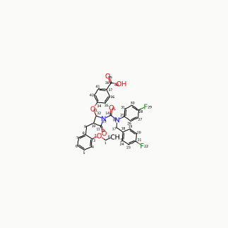 CCOc1ccccc1CC1C(=O)N(C(=O)N(Cc2ccc(F)cc2)c2ccc(F)cc2)C1Oc1ccc(C(=O)O)cc1